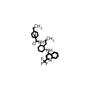 C=CCC1[C@@H](Nc2cc(C(F)(F)F)nc3ccccc23)CCC[C@H]1NC(=O)C12CCC(C=C)(CC1)OC2